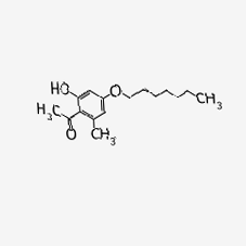 CCCCCCCOc1cc(C)c(C(C)=O)c(O)c1